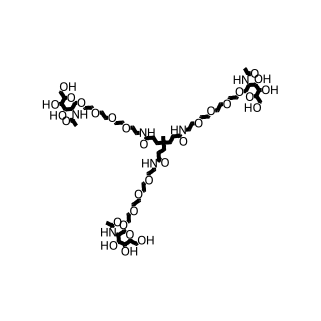 CC(=O)NC1C(OCCOCCOCCOCCNC(=O)CCC(C)(CCC(=O)NCCOCCOCCOCCOC2OC(CO)C(O)C(O)C2NC(C)=O)CCC(=O)NCCOCCOCCOCCOC2OC(CO)C(O)C(O)C2NC(C)=O)OC(CO)C(O)C1O